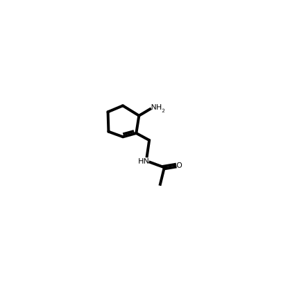 CC(=O)NCC1=CCCCC1N